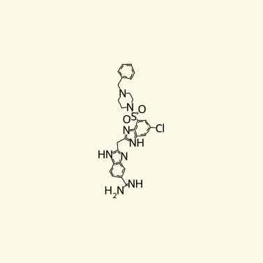 N=C(N)c1ccc2[nH]c(Cc3nc4c(S(=O)(=O)N5CCN(Cc6ccccc6)CC5)cc(Cl)cc4[nH]3)nc2c1